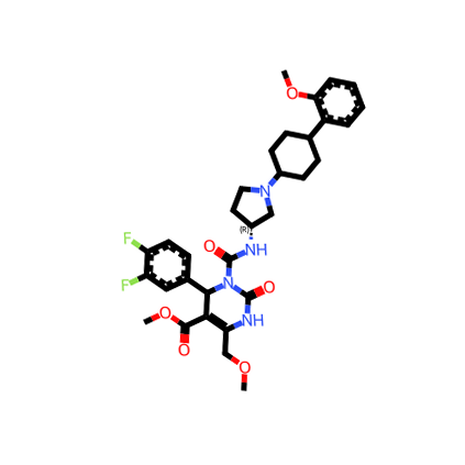 COCC1=C(C(=O)OC)C(c2ccc(F)c(F)c2)N(C(=O)N[C@@H]2CCN(C3CCC(c4ccccc4OC)CC3)C2)C(=O)N1